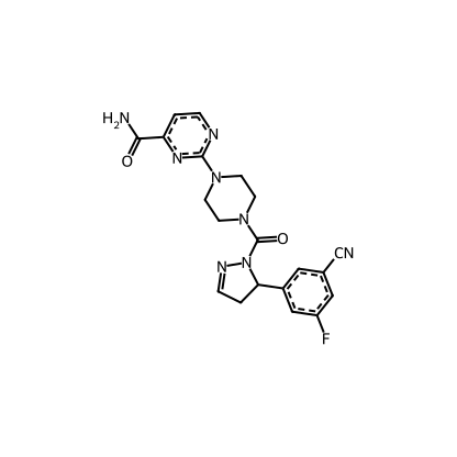 N#Cc1cc(F)cc(C2CC=NN2C(=O)N2CCN(c3nccc(C(N)=O)n3)CC2)c1